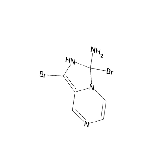 NC1(Br)NC(Br)=C2C=NC=CN21